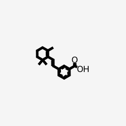 CC1=C(C=Cc2cccc(C(=O)O)c2)C(C)(C)CCC1